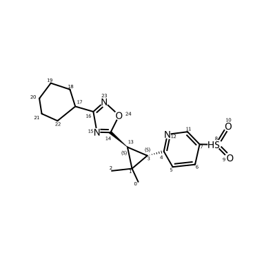 CC1(C)[C@@H](c2ccc([SH](=O)=O)cn2)[C@@H]1c1nc(C2CCCCC2)no1